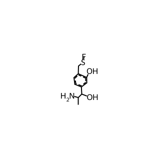 CC(N)C(O)c1ccc(CSF)c(O)c1